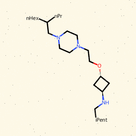 CCCCCCC(CCC)CN1CCN(CCO[C@H]2C[C@H](NCC(C)CCC)C2)CC1